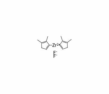 CC1=C(C)[C]([Zr+2][C]2=CCC(C)=C2C)=CC1.[F-].[F-]